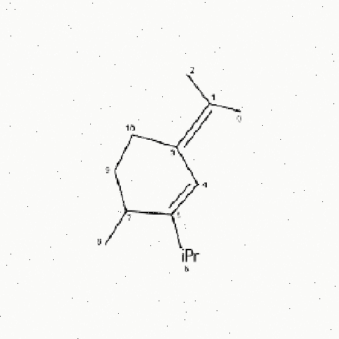 CC(C)=C1C=C(C(C)C)C(C)CC1